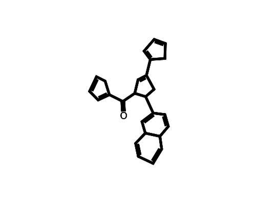 O=C(C1=CC=CC1)C1C=C(C2=CC=CC2)CC1C1=CC2C=CC=CC2C=C1